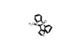 C=C=C(c1ccsc1)P(=O)(c1ccccc1)c1ccccc1